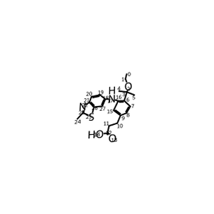 CCOC(C)(C)c1ccc(CCC(=O)O)cc1Nc1ccc2nc(C)sc2c1